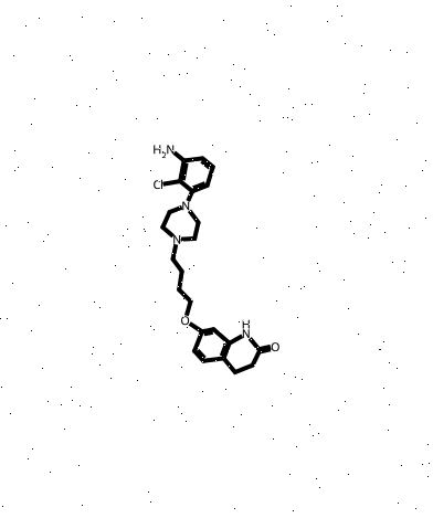 Nc1cccc(N2CCN(CCCCOc3ccc4c(c3)NC(=O)CC4)CC2)c1Cl